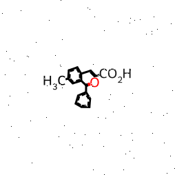 Cc1ccc(C=CC(=O)O)c(C(=O)c2ccccc2)c1